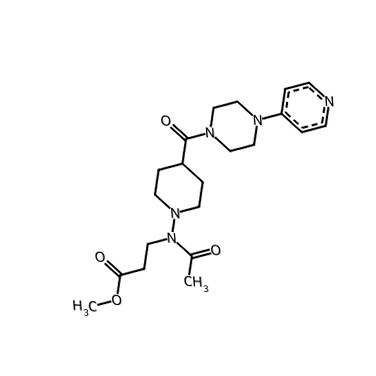 COC(=O)CCN(C(C)=O)N1CCC(C(=O)N2CCN(c3ccncc3)CC2)CC1